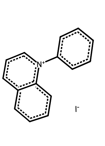 [I-].c1ccc(-[n+]2cccc3ccccc32)cc1